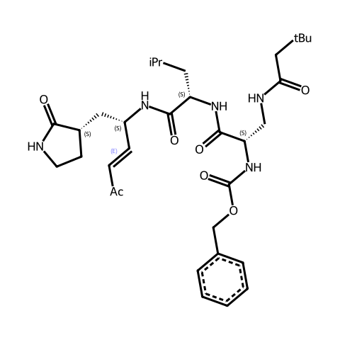 CC(=O)/C=C/[C@H](C[C@@H]1CCNC1=O)NC(=O)[C@H](CC(C)C)NC(=O)[C@H](CNC(=O)CC(C)(C)C)NC(=O)OCc1ccccc1